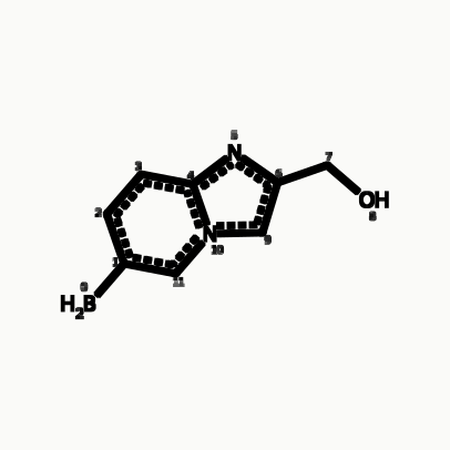 Bc1ccc2nc(CO)cn2c1